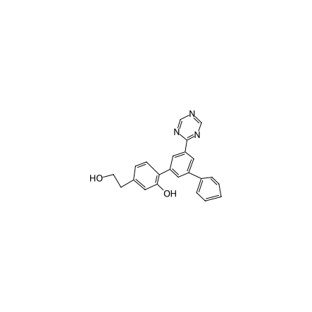 OCCc1ccc(-c2cc(-c3ccccc3)cc(-c3ncncn3)c2)c(O)c1